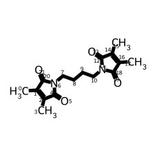 CC1=C(C)C(=O)N(CCCCN2C(=O)C(C)=C(C)C2=O)C1=O